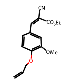 C=CCOc1ccc(C=C(C#N)C(=O)OCC)cc1OC